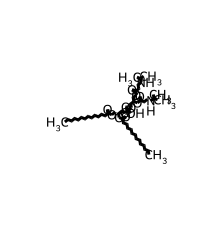 CCCCCCCCCCCCCC(=O)OC[C@H](COP(=O)(O)OCC(COC(=O)CCNC(C)C)OC(=O)CCNC(C)C)OC(=O)CCCCCCCCCCCCC